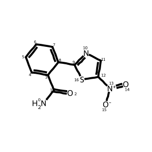 NC(=O)c1ccccc1-c1ncc([N+](=O)[O-])s1